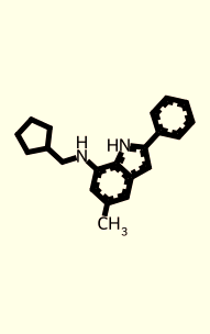 Cc1cc(NCC2CCCC2)c2[nH]c(-c3ccccc3)cc2c1